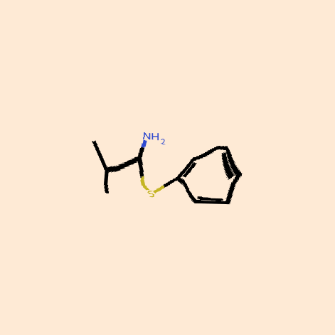 CC(C)C(N)Sc1ccccc1